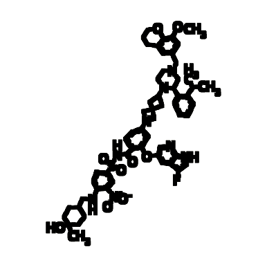 COc1cc(CN2CCN(C3CC4(C3)CN(c3ccc(C(=O)NS(=O)(=O)c5ccc(NCC6CCC(C)(O)CC6)c([N+](=O)[O-])c5)c(Oc5cnc6[nH]cc(F)c6c5)c3)C4)[C@H](c3ccccc3C(C)C)C2)cc2c1OCCC2